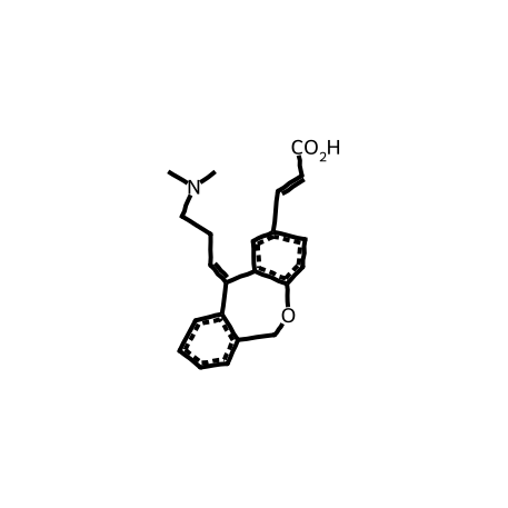 CN(C)CC/C=C1/c2ccccc2COc2ccc(/C=C/C(=O)O)cc21